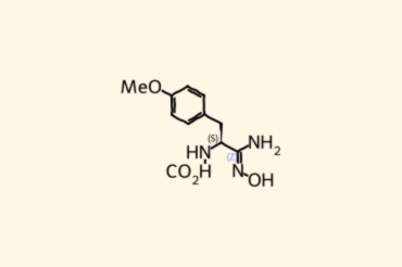 COc1ccc(C[C@H](NC(=O)O)/C(N)=N/O)cc1